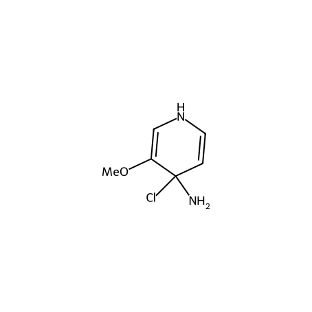 COC1=CNC=CC1(N)Cl